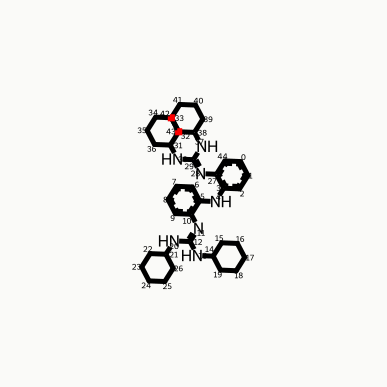 c1ccc(Nc2ccccc2N=C(NC2CCCCC2)NC2CCCCC2)c(N=C(NC2CCCCC2)NC2CCCCC2)c1